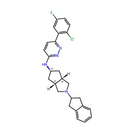 Fc1ccc(Cl)c(-c2ccc(N[C@H]3C[C@@H]4CN(C5Cc6ccccc6C5)C[C@@H]4C3)nn2)c1